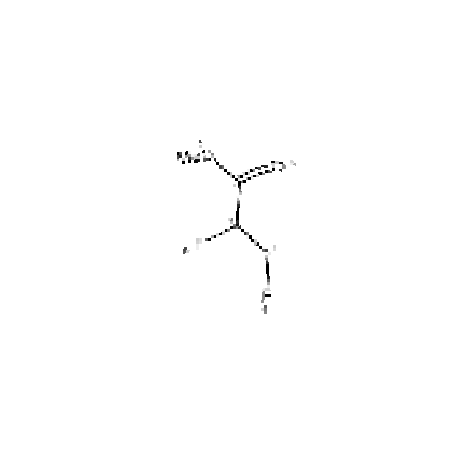 COC(=O)C(F)CF